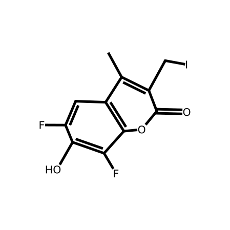 Cc1c(CI)c(=O)oc2c(F)c(O)c(F)cc12